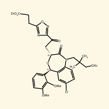 CCOC(=O)CCc1nc(C(=O)C[C@H]2O[C@H](c3cccc(OC)c3OC)c3cc(Cl)ccc3N(CC(C)(C)COC(C)=O)C2=O)no1